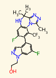 Cc1nnc2n1-c1c(cc(F)c(-c3cc(F)cc4c3cnn4CCO)c1C(F)(F)F)NC2(C)C